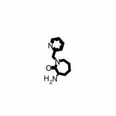 N[C@@H]1CCCCN(Cc2ccccn2)C1=O